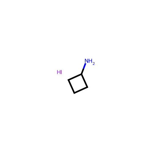 I.NC1CCC1